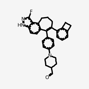 O=CC1CCN(c2ccc(C3=C(c4cccc5c4CC5)CCCc4c3ccc3[nH]nc(F)c43)cc2)CC1